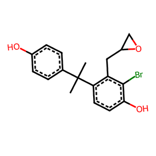 CC(C)(c1ccc(O)cc1)c1ccc(O)c(Br)c1CC1CO1